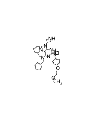 COCCOc1ccc(Nc2nc(N(Cc3ccccc3)Cc3ccccc3)c3ncn(C4CNC4)c3n2)cc1.Cl